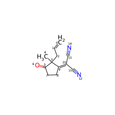 C=CCC1(C)C(=O)CCC1=C(C#N)C#N